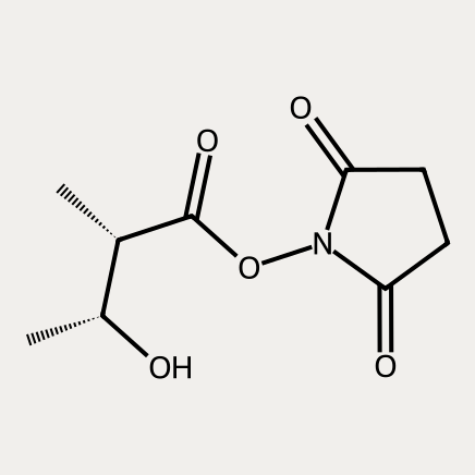 C[C@H](C(=O)ON1C(=O)CCC1=O)[C@@H](C)O